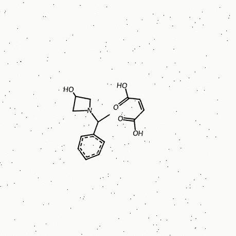 CC(c1ccccc1)N1CC(O)C1.O=C(O)/C=C\C(=O)O